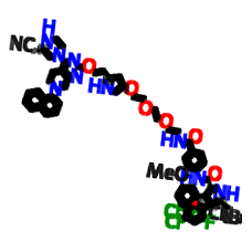 COc1cc(C(=O)NCCOCCOCCO[C@H]2CN[C@@H](CCOc3nc4c(c(N5CCN[C@@H](CC#N)C5)n3)CCN(c3cccc5ccccc35)C4)C2)ccc1NC(=O)[C@@H]1N[C@@H](CC(C)(C)C)[C@](C#N)(c2ccc(Cl)cc2F)[C@H]1c1cccc(Cl)c1F